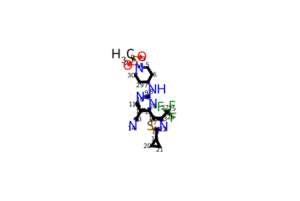 CS(=O)(=O)N1CCC(Nc2ncc(C#N)c(-c3sc(C4CC4)nc3C(F)(F)F)n2)CC1